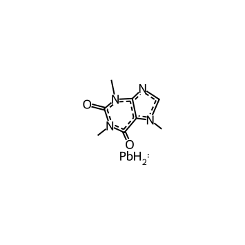 Cn1c(=O)c2c(ncn2C)n(C)c1=O.[PbH2]